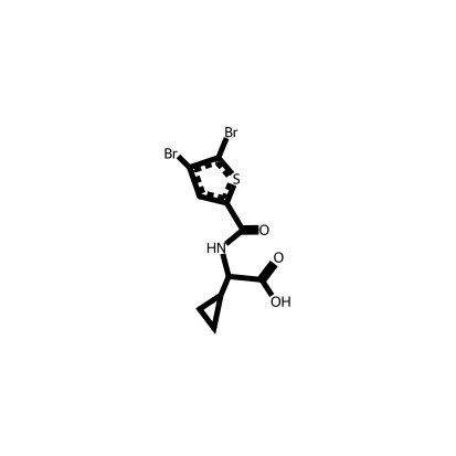 O=C(NC(C(=O)O)C1CC1)c1cc(Br)c(Br)s1